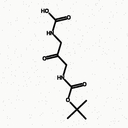 CC(C)(C)OC(=O)NCC(=O)CNC(=O)O